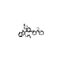 Cc1ccc(N2CCCC(C(=O)N3CCCCC3)C2)cc1-c1nc2ccccn2c1C